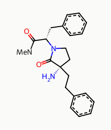 CNC(=O)[C@H](Cc1ccccc1)N1CC[C@@](N)(CCc2ccccc2)C1=O